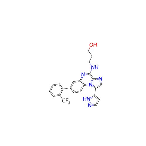 OCCCNc1nc2cc(-c3ccccc3C(F)(F)F)ccc2n2c(-c3ccn[nH]3)cnc12